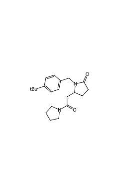 CC(C)(C)c1ccc(CN2C(=O)CCC2CC(=O)N2CCCC2)cc1